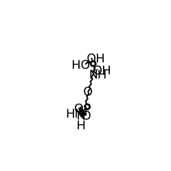 O=c1[nH][nH]c(=O)n1-c1cccc(CCCCOCCCCCCNC[C@H](O)c2ccc(O)c(CO)c2)c1